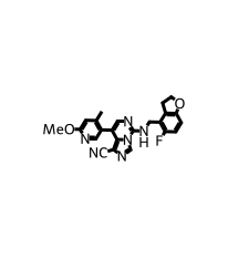 COc1cc(C)c(-c2cnc(NCc3c(F)ccc4c3CCO4)n3cnc(C#N)c23)cn1